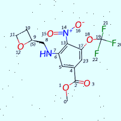 COC(=O)c1cc(NC[C@@H]2CCO2)c([N+](=O)[O-])c(OC(F)(F)F)c1